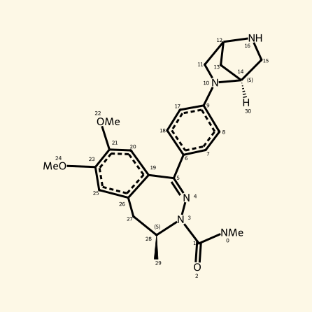 CNC(=O)N1N=C(c2ccc(N3CC4C[C@H]3CN4)cc2)c2cc(OC)c(OC)cc2C[C@@H]1C